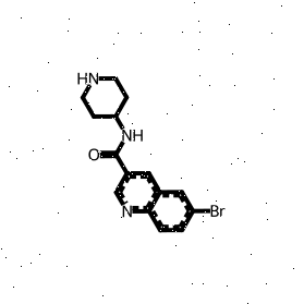 O=C(NC1CCNCC1)c1cnc2ccc(Br)cc2c1